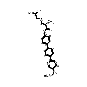 CCCCCCCCCOc1cnc(-c2ccc(-c3ccc(OC(=O)[C@H](C)COCC(C#N)CC)cc3)cc2)nc1